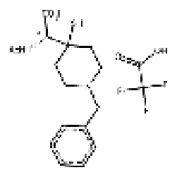 CC(=O)N[C@H](C(=O)O)C1(S)CCN(Cc2ccccc2)CC1.O=C(O)C(F)(F)F